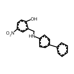 O=[N+]([O-])c1ccc(O)c(CNc2ccc(-c3ccccc3)cc2)c1